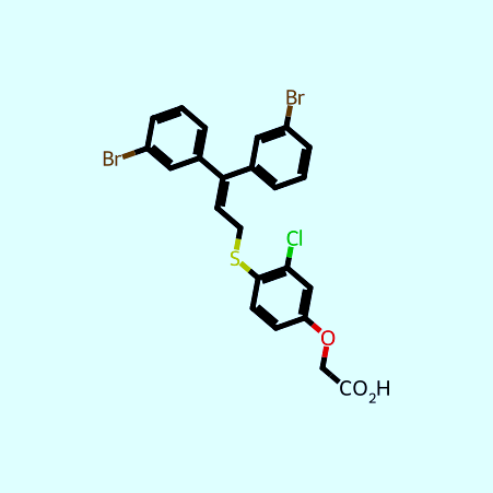 O=C(O)COc1ccc(SCC=C(c2cccc(Br)c2)c2cccc(Br)c2)c(Cl)c1